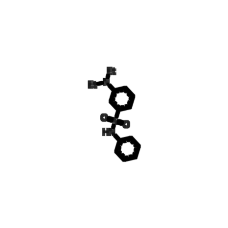 CCN(CC)c1cccc(S(=O)(=O)Nc2ccccc2)c1